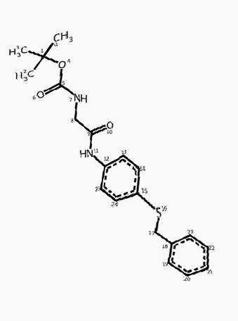 CC(C)(C)OC(=O)NCC(=O)Nc1ccc(SCc2ccccc2)cc1